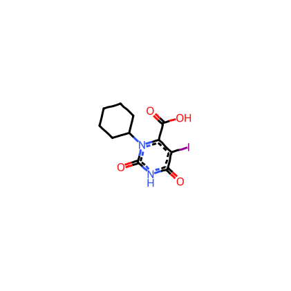 O=C(O)c1c(I)c(=O)[nH]c(=O)n1C1CCCCC1